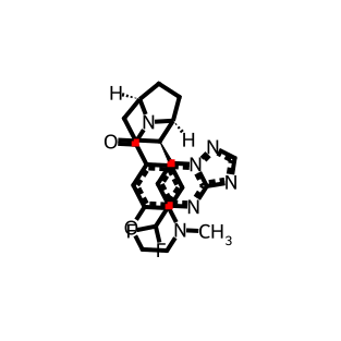 CN1CCOc2cc(C(=O)N3[C@H]4CC[C@H](c5cc(C(F)F)nc6ncnn56)[C@@H]3CC4)ccc21